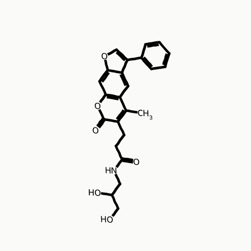 Cc1c(CCC(=O)NCC(O)CO)c(=O)oc2cc3occ(-c4ccccc4)c3cc12